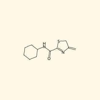 C=C1CSC(C(=O)NC2CCCCC2)=N1